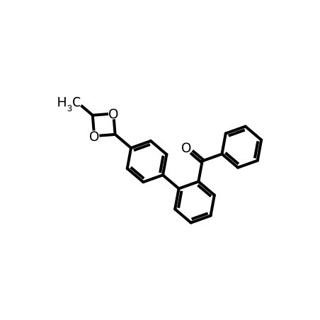 CC1OC(c2ccc(-c3ccccc3C(=O)c3ccccc3)cc2)O1